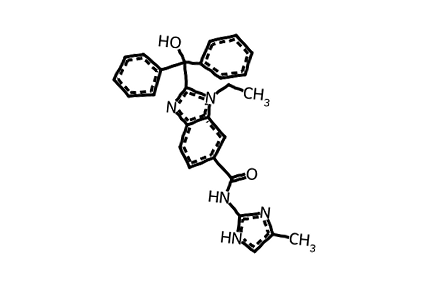 CCn1c(C(O)(c2ccccc2)c2ccccc2)nc2ccc(C(=O)Nc3nc(C)c[nH]3)cc21